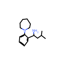 CC(C)CC(N)c1ccccc1N1CCCCCC1